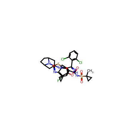 CC1(S(=O)(=O)NC(=O)c2cc(F)c3nc(N4C5CCC4CC(NCc4c(-c6c(Cl)cccc6Cl)noc4C4CC4)C5)sc3c2)CC1